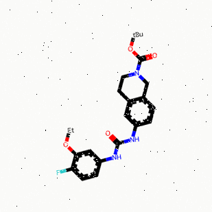 CCOc1cc(NC(=O)Nc2ccc3c(c2)CCN(C(=O)OC(C)(C)C)C3)ccc1F